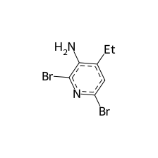 [CH2]Cc1cc(Br)nc(Br)c1N